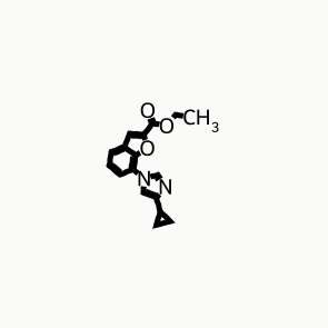 CCOC(=O)c1cc2cccc(-n3cnc(C4CC4)c3)c2o1